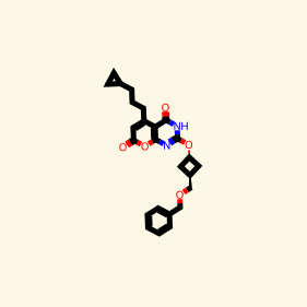 O=c1cc(CCCC2CC2)c2c(=O)[nH]c(O[C@H]3C[C@H](COCc4ccccc4)C3)nc2o1